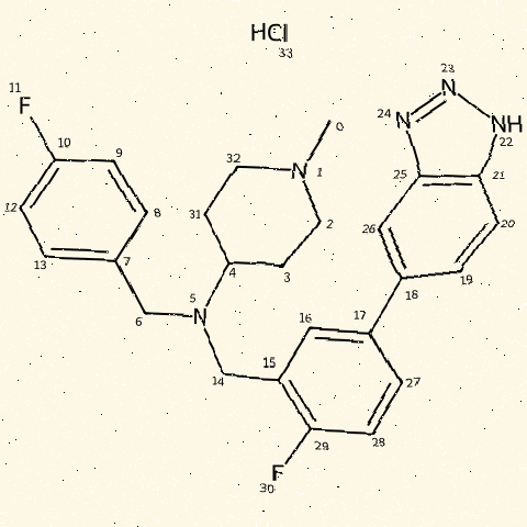 CN1CCC(N(Cc2ccc(F)cc2)Cc2cc(-c3ccc4[nH]nnc4c3)ccc2F)CC1.Cl